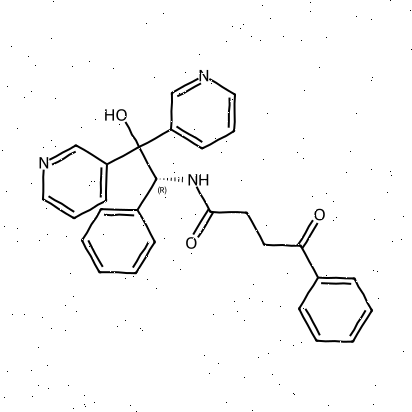 O=C(CCC(=O)c1ccccc1)N[C@H](c1ccccc1)C(O)(c1cccnc1)c1cccnc1